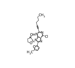 CCCCC#Cc1nc(Cl)c2nc(-c3ccc(C)o3)n([C@@H]3OCC[C@H]3O)c2n1